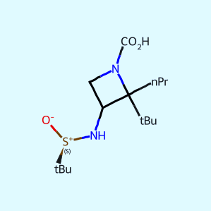 CCCC1(C(C)(C)C)C(N[S@+]([O-])C(C)(C)C)CN1C(=O)O